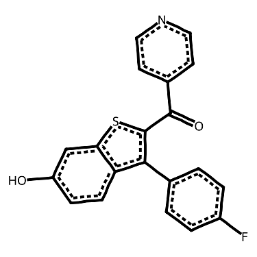 O=C(c1ccncc1)c1sc2cc(O)ccc2c1-c1ccc(F)cc1